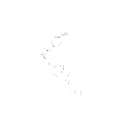 O=C(NCCO)c1ccc(OC2=NO[C@@H](c3ccc(OC(F)(F)F)cc3)C2)cn1